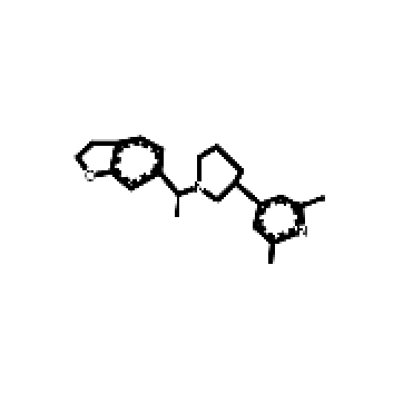 Cc1cc(C2CCCN([C@@H](C)c3ccc4c(c3)OCC4)C2)cc(C)n1